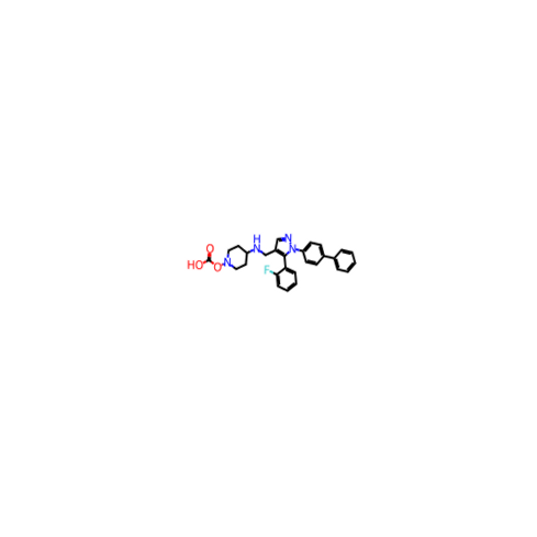 O=C(O)ON1CCC(NCc2cnn(-c3ccc(-c4ccccc4)cc3)c2-c2ccccc2F)CC1